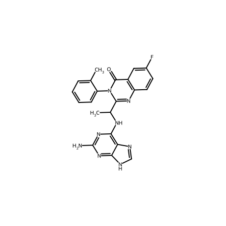 Cc1ccccc1-n1c(C(C)Nc2nc(N)nc3[nH]cnc23)nc2ccc(F)cc2c1=O